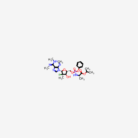 C=Nc1c(/C(=N\C)NC)ncn1[C@@H]1O[C@H](CO[P@](=O)(N[C@@H](C)C(=O)OC(C)C)Oc2ccccc2)[C@@H](O)[C@@]1(C)F